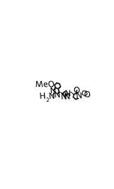 COc1cccc2c(-c3cn(Cc4cccn([C@@H]5CCOC5)c4=O)nn3)nc(N)nc12